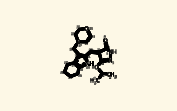 CC(C)OC1=NNC(=O)C1=Cc1[nH]c2c(c1CN1CCOCC1)CCCC2